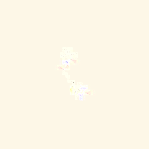 CCC(C)(C)C(=O)NOC(=O)CCCC[C@@H]1SC[C@@H]2NC(=O)N[C@@H]21